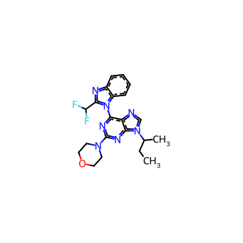 CCC(C)n1cnc2c(-n3c(C(F)F)nc4ccccc43)nc(N3CCOCC3)nc21